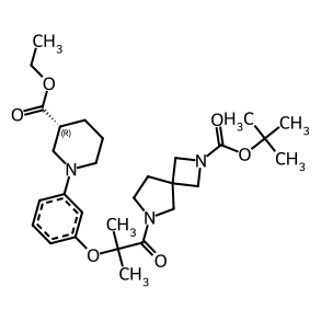 CCOC(=O)[C@@H]1CCCN(c2cccc(OC(C)(C)C(=O)N3CCC4(CN(C(=O)OC(C)(C)C)C4)C3)c2)C1